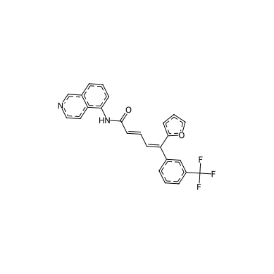 O=C(C=CC=C(c1cccc(C(F)(F)F)c1)c1ccco1)Nc1cccc2cnccc12